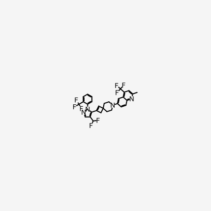 Cc1cc(C(F)(F)F)c2cc(N3CCC4(C=C(c5c(C(F)F)cnn5-c5ccccc5C(F)(F)F)C4)CC3)ccc2n1